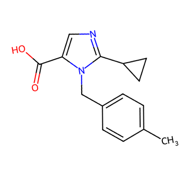 Cc1ccc(Cn2c(C(=O)O)cnc2C2CC2)cc1